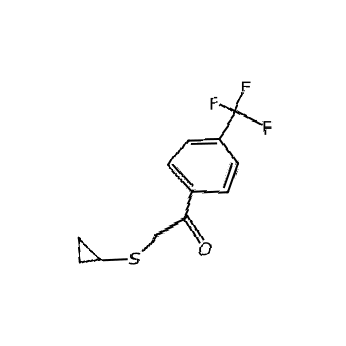 O=C(CSC1CC1)c1ccc(C(F)(F)F)cc1